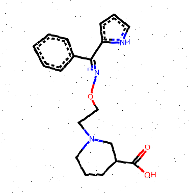 O=C(O)C1CCCN(CCO/N=C(\c2ccccc2)c2ccc[nH]2)C1